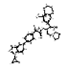 O=C(NC(CN1CCCC1)C(O)c1cc(Cl)c2c(c1)OCCO2)C(=O)c1ccc(-c2ccc3c(cnn3C3CC3)c2)cc1